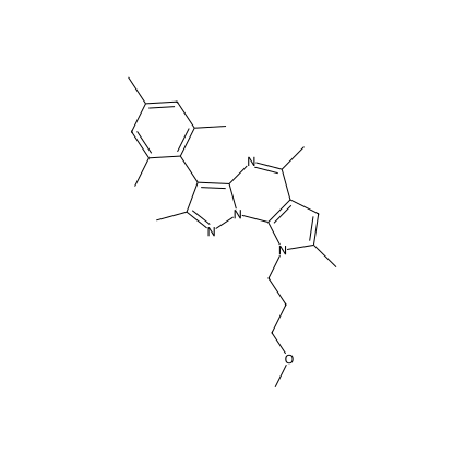 COCCCn1c(C)cc2c(C)nc3c(-c4c(C)cc(C)cc4C)c(C)nn3c21